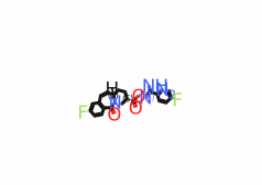 N/C(=N\OC(=O)[C@H]1CC[C@H]2C=Cc3cc(F)ccc3C(=O)N2C1)c1ccc(F)cn1